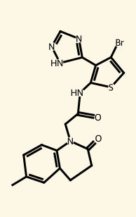 Cc1ccc2c(c1)CCC(=O)N2CC(=O)Nc1scc(Br)c1-c1ncn[nH]1